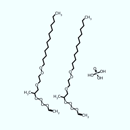 C=COOOOC(C)COCCOOCCCCCCCCCCCCC.C=COOOOC(C)COCCOOCCCCCCCCCCCCC.O=P(O)(O)O